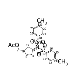 CC(=O)OCC1C=CC(N(S(=O)(=O)c2ccc(C)cc2)S(=O)(=O)c2ccc(C)cc2)C1